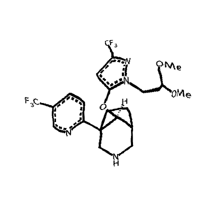 COC(Cn1nc(C(F)(F)F)cc1O[C@H]1C2CCC1(c1ccc(C(F)(F)F)cn1)CNC2)OC